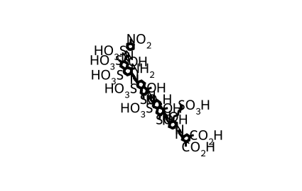 Nc1c(N=Nc2ccc3c(O)c(N=Nc4ccc5c(O)c(N=Nc6ccc(N=Nc7cc(C(=O)O)cc(C(=O)O)c7)cc6OCCCS(=O)(=O)O)c(S(=O)(=O)O)cc5c4S(=O)(=O)O)c(S(=O)(=O)O)cc3c2S(=O)(=O)O)cc(S(=O)(=O)O)c2cc(S(=O)(=O)O)c(N=Nc3ccc([N+](=O)[O-])cc3S(=O)(=O)O)c(O)c12